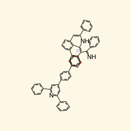 N=C(/C(=C1\NC(c2ccccc2)=Cc2cccc(-c3cccc(-c4ccc(-c5cc(-c6ccccc6)nc(-c6ccccc6)c5)cc4)c3)c21)c1ccccc1)c1ccccc1